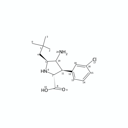 CC(C)(C)C[C@@H]1N[C@@H](C(=O)O)[C@H](c2cccc(Cl)c2)C1N